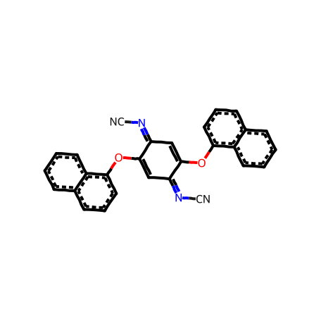 N#C/N=C1C=C(Oc2cccc3ccccc23)/C(=N\C#N)C=C/1Oc1cccc2ccccc12